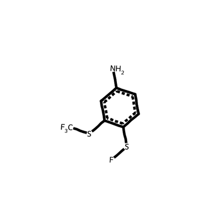 Nc1ccc(SF)c(SC(F)(F)F)c1